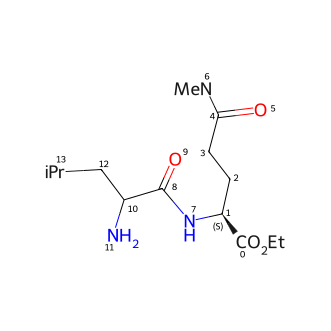 CCOC(=O)[C@H](CCC(=O)NC)NC(=O)C(N)CC(C)C